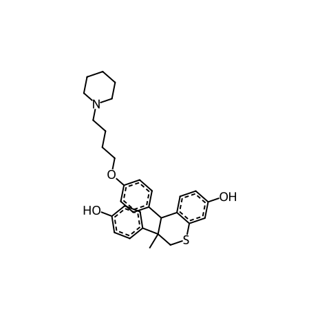 CC1(c2ccc(O)cc2)CSc2cc(O)ccc2C1c1ccc(OCCCCN2CCCCC2)cc1